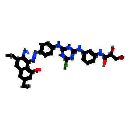 Nc1c(S(=O)(=O)O)cc2cc(S(=O)(=O)O)cc(O)c2c1N=Nc1ccc(Nc2nc(Cl)nc(Nc3cccc(NC(=O)C(Br)CBr)c3)n2)cc1